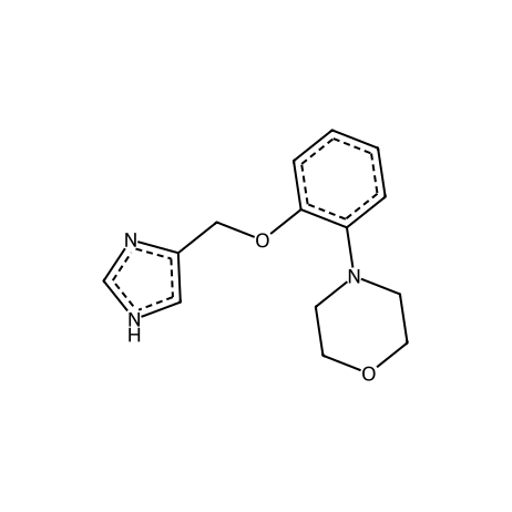 c1ccc(N2CCOCC2)c(OCc2c[nH]cn2)c1